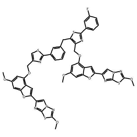 COc1cc(OCc2csc(-c3cccc(Cc4sc(-c5cccc(F)c5)nc4COc4cc(OC)cc5oc(-c6cn7nc(OC)sc7n6)cc45)c3)n2)c2cc(-c3cn4nc(OC)sc4n3)oc2c1